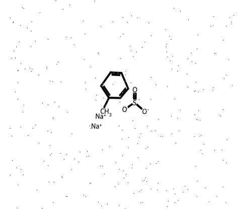 Cc1ccccc1.O=S([O-])[O-].[Na+].[Na+]